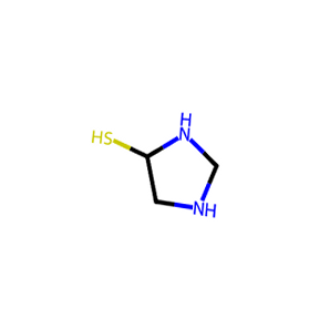 SC1CNCN1